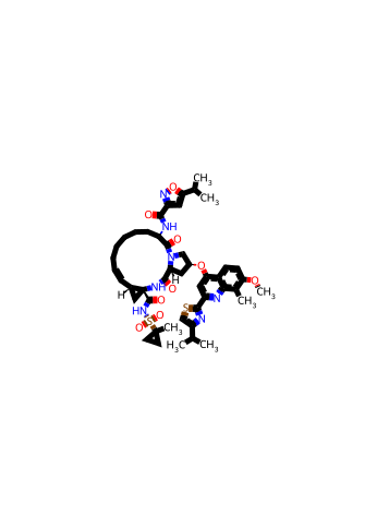 COc1ccc2c(O[C@@H]3C[C@H]4C(=O)N[C@]5(C(=O)NS(=O)(=O)C6(C)CC6)C[C@H]5/C=C\CCCCC[C@H](NC(=O)c5cc(C(C)C)on5)C(=O)N4C3)cc(-c3nc(C(C)C)cs3)nc2c1C